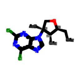 CC(=O)OC[C@@H]1OC[C@](OC(C)=O)(n2cnc3c(Cl)nc(Cl)nc32)[C@H]1OC(C)=O